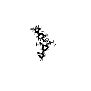 Cn1cc(-c2cnc(C(=O)Nc3cc(-c4cccs4)ccc3N)c(F)c2)cn1